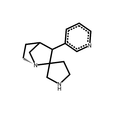 c1cncc(C2C3CC[N@](C3)C23CCNC3)c1